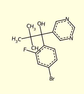 CC(C)(C)C(O)(c1cncnc1)c1ccc(Br)cc1F